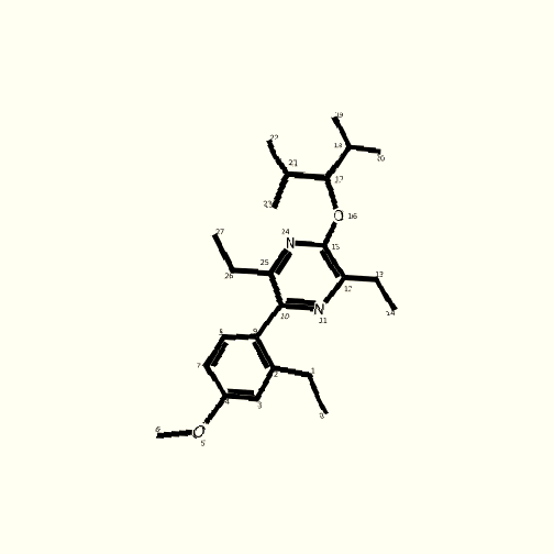 CCc1cc(OC)ccc1-c1nc(CC)c(OC(C(C)C)C(C)C)nc1CC